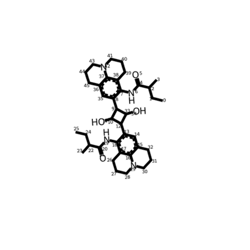 CCC(C)C(=O)Nc1c(C2C(O)C(c3cc4c5c(c3NC(=O)C(C)CC)CCCN5CCC4)C2O)cc2c3c1CCCN3CCC2